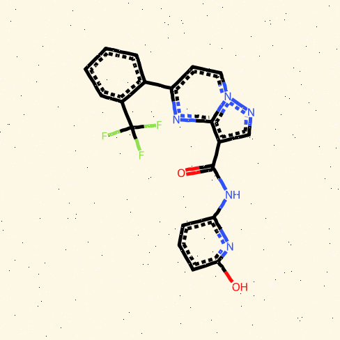 O=C(Nc1cccc(O)n1)c1cnn2ccc(-c3ccccc3C(F)(F)F)nc12